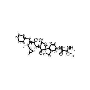 C[C@@H](C1CC1)N(Cc1ccccc1)C(=O)CN1C(=O)O[C@]2(CCc3cc(NC(=O)[C@@H](N)C(F)(F)F)ccc32)C1=O